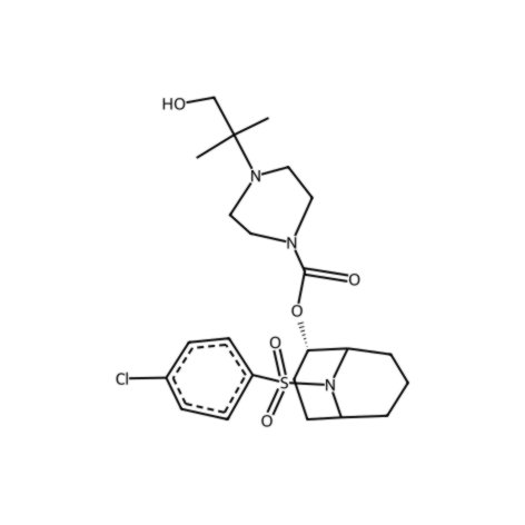 CC(C)(CO)N1CCN(C(=O)O[C@H]2CCC3CCCC2N3S(=O)(=O)c2ccc(Cl)cc2)CC1